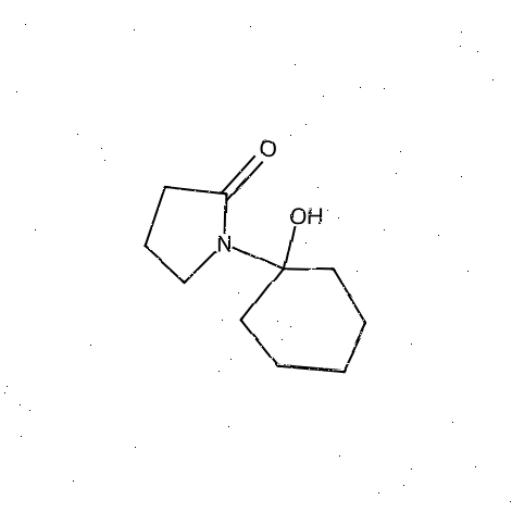 O=C1CCCN1C1(O)CCCCC1